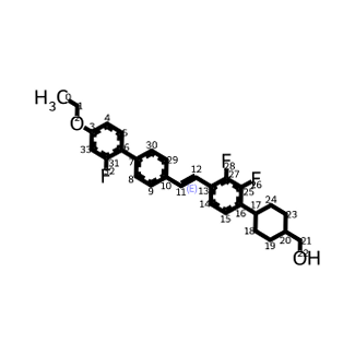 CCOc1ccc(-c2ccc(/C=C/c3ccc(C4CCC(CO)CC4)c(F)c3F)cc2)c(F)c1